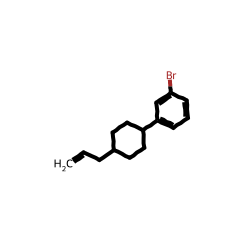 C=CCC1CCC(c2cccc(Br)c2)CC1